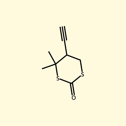 C#CC1CSC(=O)SC1(C)C